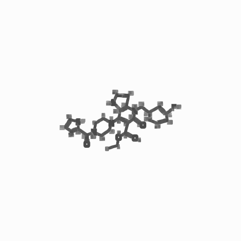 CCOC(=O)c1c(N2CCN(C(=O)c3cccs3)CC2)c2sccc2n(Cc2cccc(F)c2)c1=O